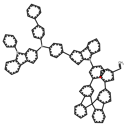 C=Cc1cccc(-c2ccc3c(c2)C2(c4ccccc4-3)c3ccccc3-c3ccc(-c4cccc(-n5c6ccccc6c6cc(-c7ccc(N(c8ccc(-c9ccccc9)cc8)c8ccc9c%10ccccc%10n(-c%10ccccc%10)c9c8)cc7)ccc65)c4)cc32)c1